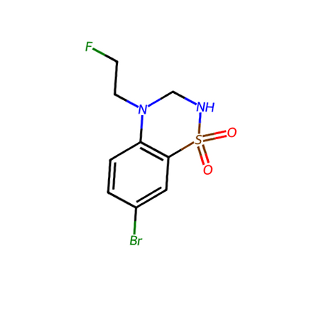 O=S1(=O)NCN(CCF)c2ccc(Br)cc21